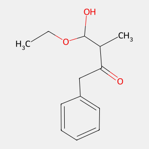 CCOC(O)C(C)C(=O)Cc1ccccc1